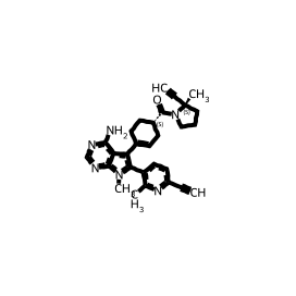 C#Cc1ccc(-c2c(C3=CC[C@@H](C(=O)N4CCC[C@@]4(C)C#C)CC3)c3c(N)ncnc3n2C)c(C)n1